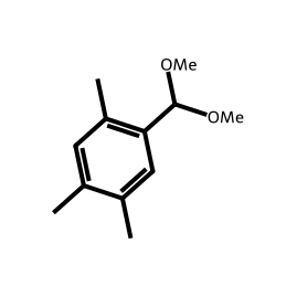 COC(OC)c1cc(C)c(C)cc1C